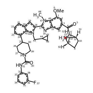 COc1cc(C(=O)N2C[C@H]3CC[C@@H]2[C@@H]3N)cc2nc(-c3cc4cccc(C5CCN(C(=O)Nc6cccc(F)c6)CC5)c4n3CC3CC3)n(C)c12